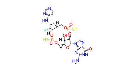 Nc1nc2c(ncn2[C@@H]2O[C@@H]3CO[P@](=O)(S)O[C@@H]4[C@@H](CO[P@](=O)(S)O[C@@H]2[C@@H]3O)C[C@@H](Nc2ccncn2)[C@@H]4F)c(=O)[nH]1